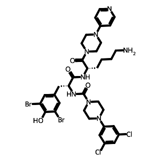 NCCCC[C@H](NC(=O)[C@@H](Cc1cc(Br)c(O)c(Br)c1)NC(=O)N1CCN(c2cc(Cl)cc(Cl)c2)CC1)C(=O)N1CCN(c2ccncc2)CC1